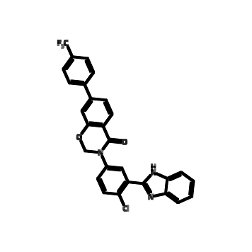 O=C1c2ccc(-c3ccc(C(F)(F)F)cc3)cc2OCN1c1ccc(Cl)c(-c2nc3ccccc3[nH]2)c1